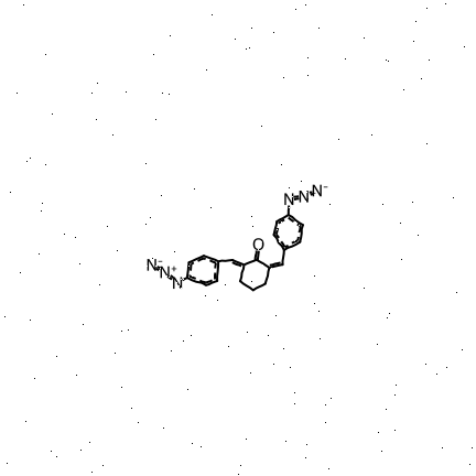 [N-]=[N+]=Nc1ccc(/C=C2/CCC/C(=C\c3ccc(N=[N+]=[N-])cc3)C2=O)cc1